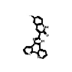 Cc1ccc2[nH]c(=O)c(-c3nc4c5cccnc5c5ncccc5c4[nH]3)cc2c1